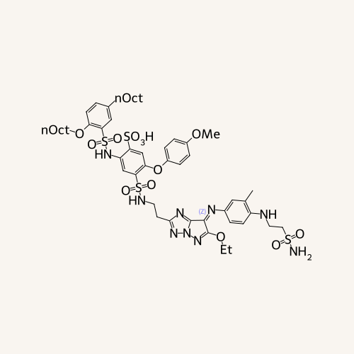 CCCCCCCCOc1ccc(CCCCCCCC)cc1S(=O)(=O)Nc1cc(S(=O)(=O)NCCc2nc3n(n2)N=C(OCC)/C3=N\c2ccc(NCCS(N)(=O)=O)c(C)c2)c(Oc2ccc(OC)cc2)cc1S(=O)(=O)O